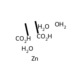 CC(=O)O.CC(=O)O.O.O.O.[Zn]